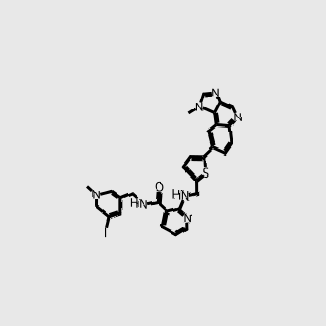 CN1C=C(CNC(=O)c2cccnc2NCc2ccc(-c3ccc4ncc5ncn(C)c5c4c3)s2)C=C(I)C1